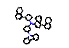 C1=Cc2cccc(-c3ccc(N(c4cccc(-c5cccc6ccccc56)c4)c4cccc(-n5c6ccccc6c6ccccc65)c4)c4ccccc34)c2CC1